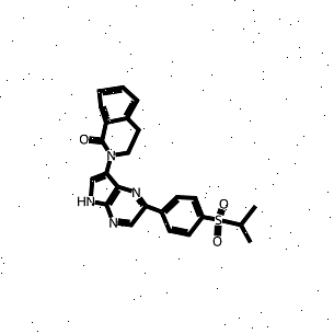 CC(C)S(=O)(=O)c1ccc(-c2cnc3[nH]cc(N4CCc5ccccc5C4=O)c3n2)cc1